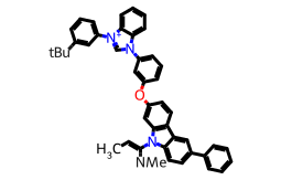 C/C=C(\NC)n1c2ccc(-c3ccccc3)cc2c2ccc(Oc3cccc(-n4c[n+](-c5cccc(C(C)(C)C)c5)c5ccccc54)c3)cc21